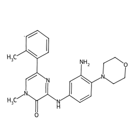 Cc1[c]cccc1-c1cn(C)c(=O)c(Nc2ccc(N3CCOCC3)c(N)c2)n1